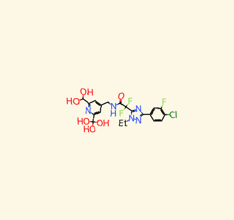 CCn1nc(-c2ccc(Cl)c(F)c2)nc1C(F)(F)C(=O)NCc1cc(C(O)O)nc(C(O)(O)O)c1